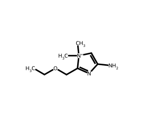 CCOCC1=NC(N)=C[N+]1(C)C